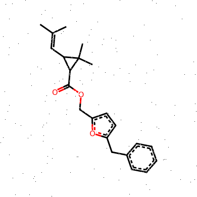 CC(C)=CC1C(C(=O)OCc2ccc(Cc3ccccc3)o2)C1(C)C